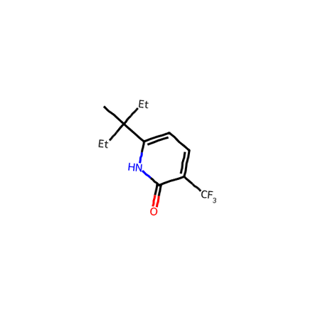 CCC(C)(CC)c1ccc(C(F)(F)F)c(=O)[nH]1